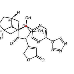 CC1CC2(C[C@H]3CC[C@H](C2)N3C[C@@H](O)c2cnc(-n3cnnn3)cn2)C(=O)N1C1=CC(=O)OC1